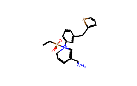 CCS(=O)(=O)[N+]1(c2cccc(Cc3cccs3)c2)C=C(CN)C=CC1